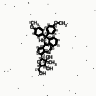 COc1ccc(C(Nc2ncnc3c([C@@H]4O[C@H](CO)[C@@H](O)[C@@]4(C)O)scc23)(c2ccccc2)c2ccc(OC)cc2)cc1